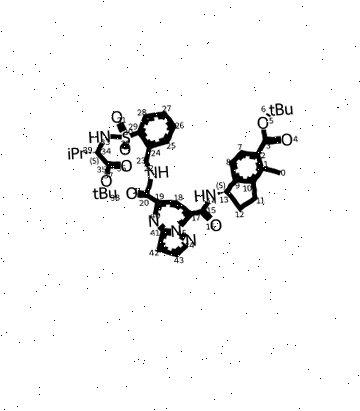 Cc1c(C(=O)OC(C)(C)C)ccc2c1CC[C@@H]2NC(=O)c1cc(C(=O)NCc2ccccc2S(=O)(=O)N[C@H](C(=O)OC(C)(C)C)C(C)C)nc2ccnn12